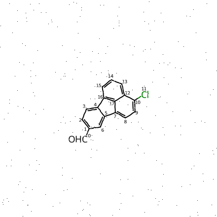 O=Cc1ccc2c(c1)-c1ccc(Cl)c3cccc-2c13